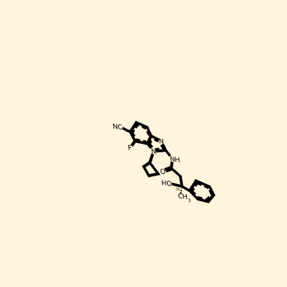 C[C@](O)(CC(=O)Nc1nc2ccc(C#N)c(F)c2n1C1CCC1)c1ccccc1